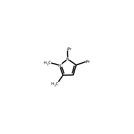 Cc1cc(C(C)C)n(C(C)C)[n+]1C